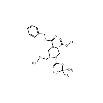 COC(=O)[C@@H]1CN(C(=O)OC(C)(C)C)[C@@H](CSC)CN1C(=O)OCc1ccccc1